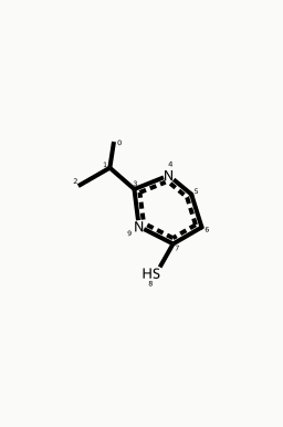 CC(C)c1nccc(S)n1